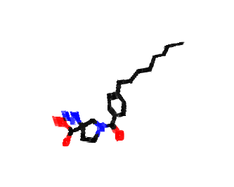 CCCCCCCCc1ccc(C(=O)N2CCC(N)(C(=O)O)C2)cc1